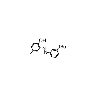 Cc1ccc(O)c(N=Nc2cccc(C(C)(C)C)c2)c1